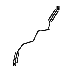 N#C[CH]CCCC#N